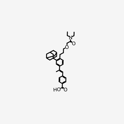 CCN(CC)C(=O)COCCCc1ccc(/C(C)=C/c2ccc(C(=O)O)cc2)cc1C12CC3CC(CC(C3)C1)C2